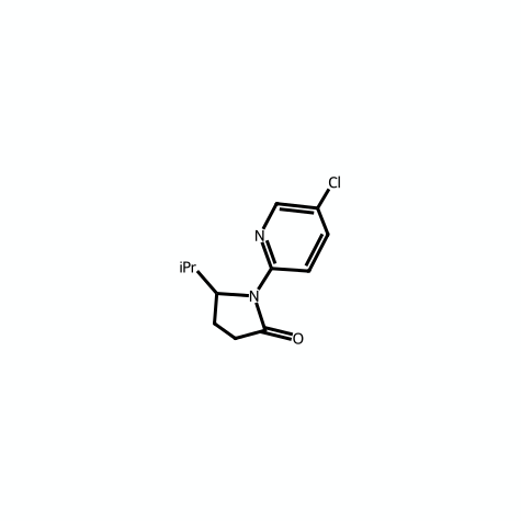 CC(C)C1CCC(=O)N1c1ccc(Cl)cn1